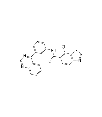 O=C(Nc1cccc(-c2ncnc3ccccc23)c1)c1ccc2c(c1Cl)CC=N2